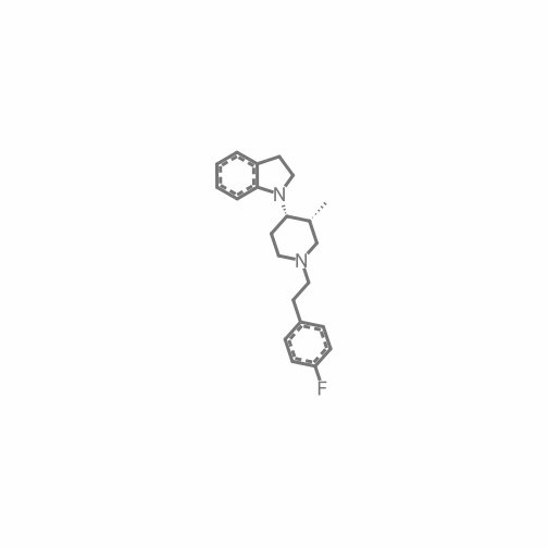 C[C@@H]1CN(CCc2ccc(F)cc2)CC[C@@H]1N1CCc2ccccc21